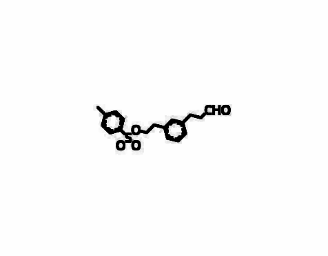 Cc1ccc(S(=O)(=O)OCCc2cccc(CCC=O)c2)cc1